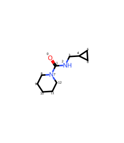 O=C(NCC1CC1)N1CCCCC1